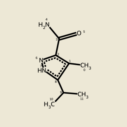 Cc1c(C(N)=O)n[nH]c1C(C)C